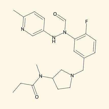 CCC(=O)N(C)C1CCN(Cc2ccc(F)c(N(C=O)Nc3ccc(C)nc3)c2)C1